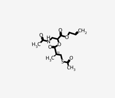 C=CCOC(=O)C(CNC(C)=O)OC(=O)[C@H](C)CSC(C)=O